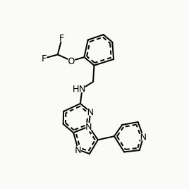 FC(F)Oc1ccccc1CNc1ccc2ncc(-c3ccncc3)n2n1